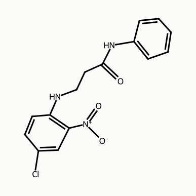 O=C(CCNc1ccc(Cl)cc1[N+](=O)[O-])Nc1ccccc1